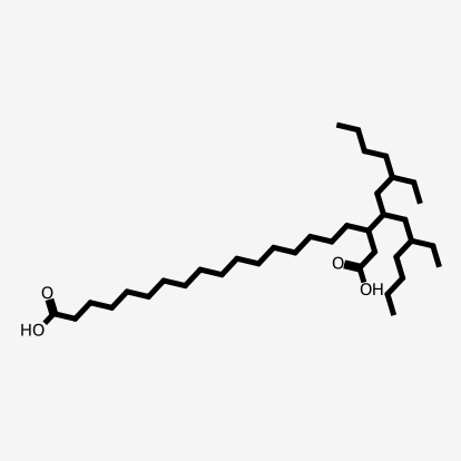 CCCCC(CC)CC(CC(CC)CCCC)C(CCCCCCCCCCCCCCCCC(=O)O)CC(=O)O